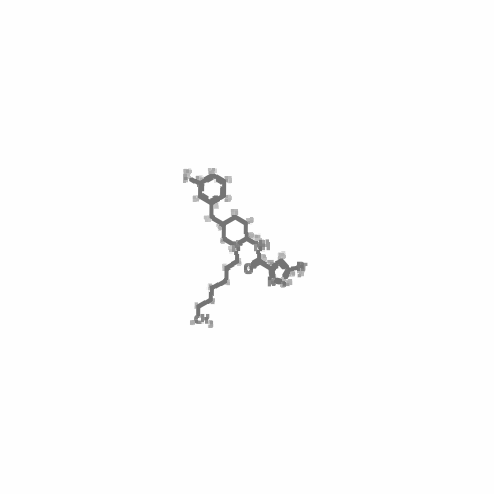 CCCCCCCN1CC(Cc2cccc(F)c2)CCC1NC(=O)c1cc(Br)sn1